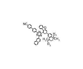 CC1(C)CCC(C)(C)c2cc(C3C=c4oc5ccccc5c4=C(c4nc(-c5ccc(-c6ccc(C#N)cc6)cc5)nc(-c5ccc6ccccc6c5)n4)C3)ccc21